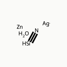 N#[SiH].O.[Ag].[Zn]